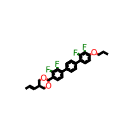 C/C=C/C1COC(c2ccc(-c3ccc(-c4ccc(OCCC)c(F)c4F)cc3)c(F)c2F)OC1